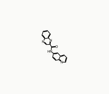 O=C(Nc1ccc2ncccc2c1)c1cnc2ccccc2n1